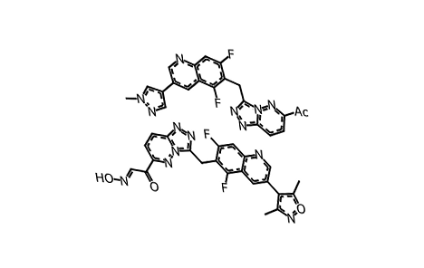 CC(=O)c1ccc2nnc(Cc3c(F)cc4ncc(-c5cnn(C)c5)cc4c3F)n2n1.Cc1noc(C)c1-c1cnc2cc(F)c(Cc3nnc4ccc(C(=O)/C=N/O)nn34)c(F)c2c1